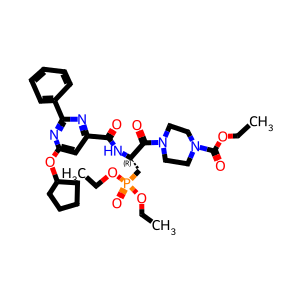 CCOC(=O)N1CCN(C(=O)[C@H](CP(=O)(OCC)OCC)NC(=O)c2cc(OC3CCCC3)nc(-c3ccccc3)n2)CC1